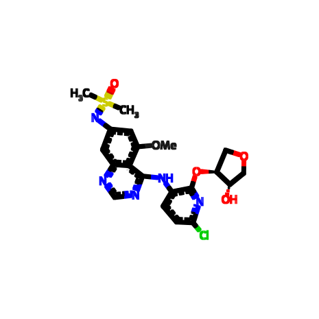 COc1cc(N=S(C)(C)=O)cc2ncnc(Nc3ccc(Cl)nc3O[C@H]3COC[C@@H]3O)c12